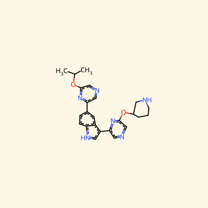 CC(C)Oc1cncc(-c2ccc3[nH]cc(-c4cncc(OC5CCCNC5)n4)c3c2)n1